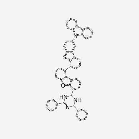 c1ccc(C2=NC(c3ccccc3)NC(c3cccc4c3oc3cccc(-c5cccc6c5sc5ccc(-n7c8ccccc8c8ccccc87)cc56)c34)N2)cc1